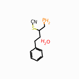 N#CSC(CP)CCc1ccccc1.O